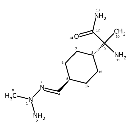 CN(N)N=C[C@H]1CC[C@H](C(C)(N)C(N)=O)CC1